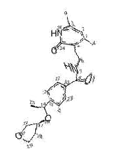 Cc1cc(C)c(CNC(=O)c2ccc([C@H](C)O[C@H]3CCOC3)cc2)c(=O)[nH]1